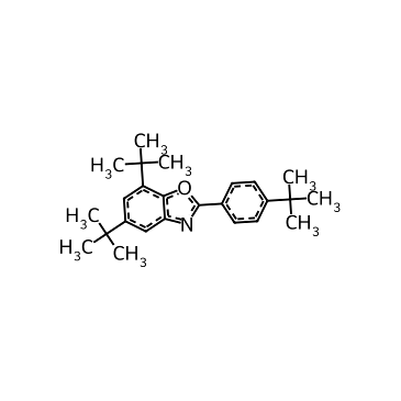 CC(C)(C)c1ccc(-c2nc3cc(C(C)(C)C)cc(C(C)(C)C)c3o2)cc1